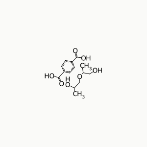 CC(O)COC(C)CO.O=C(O)c1ccc(C(=O)O)cc1